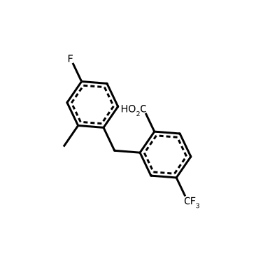 Cc1cc(F)ccc1Cc1cc(C(F)(F)F)ccc1C(=O)O